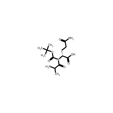 CC(N)C(=O)N(C(=O)OC(C)(C)C)[C@H](CCC(N)=O)C(=O)O